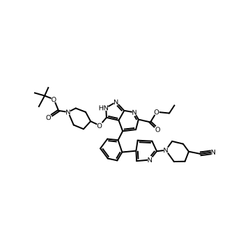 CCOC(=O)c1cc(-c2ccccc2-c2ccc(N3CCC(C#N)CC3)nc2)c2c(OC3CCN(C(=O)OC(C)(C)C)CC3)[nH]nc2n1